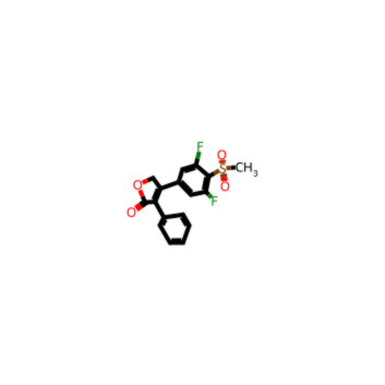 CS(=O)(=O)c1c(F)cc(C2=C(c3ccccc3)C(=O)OC2)cc1F